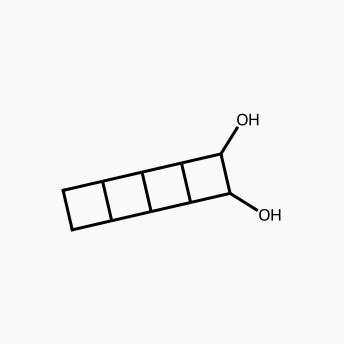 OC1C(O)C2C1C1C3CCC3C21